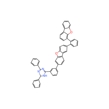 c1ccc(C2=NC(c3ccccc3)NC(c3cccc(-c4ccc5c(c4)oc4ccc(-c6ccccc6-c6cccc7c6oc6ccccc67)cc45)c3)=N2)cc1